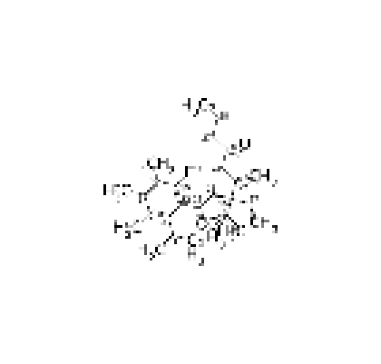 C=C(C)c1c(C)c(C)c(C)c(F)c1C(=O)C[C@@](CC)(C(=C)C)C(=C)CC(=O)CCC